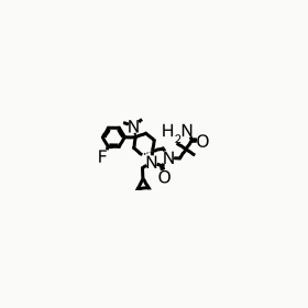 CN(C)[C@]1(c2cccc(F)c2)CC[C@]2(CC1)CN(CC(C)(C)C(N)=O)C(=O)N2CC1CC1